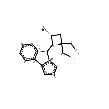 O[C@@H]1CC(CF)(CF)[C@@H]1[C@H]1c2ccccc2-c2cncn21